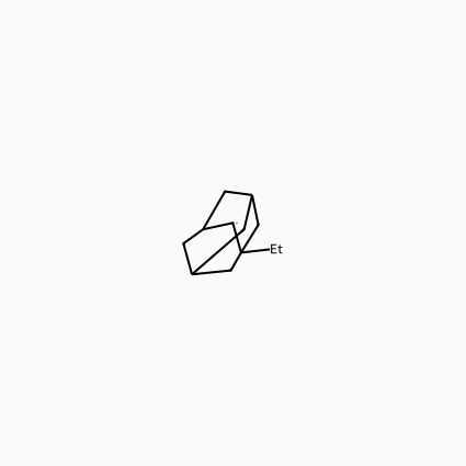 CCC12[CH]C3CC(CC(C3)C1)C2